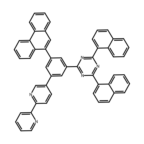 c1ccc(-c2ccc(-c3cc(-c4nc(-c5cccc6ccccc56)nc(-c5cccc6ccccc56)n4)cc(-c4cc5ccccc5c5ccccc45)c3)cn2)nc1